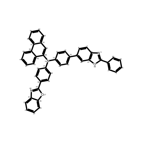 c1ccc(-c2nc3ccc(-c4ccc(N(c5ccc(-c6nc7ccccc7o6)cc5)c5cc6ccccc6c6ccccc56)cc4)cc3o2)cc1